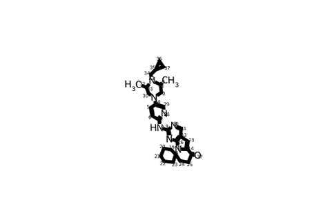 CC1CN(c2ccc(Nc3ncc4cc5n(c4n3)C3(CCCCC3)CCC5=O)nc2)CC(C)N1CC1CC1